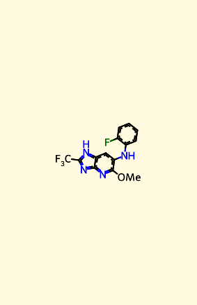 COc1nc2nc(C(F)(F)F)[nH]c2cc1Nc1ccccc1F